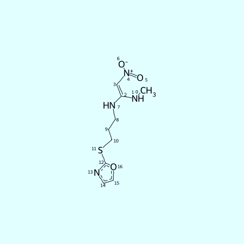 CNC(=C[N+](=O)[O-])NCCCSc1ncco1